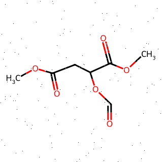 COC(=O)CC(OC=O)C(=O)OC